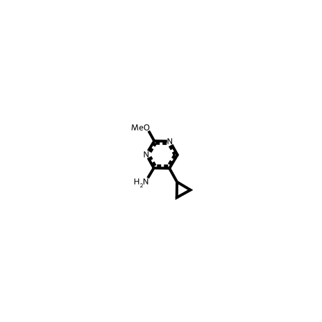 COc1ncc(C2CC2)c(N)n1